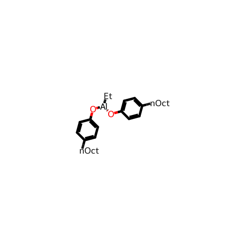 CCCCCCCCc1ccc([O][Al]([CH2]C)[O]c2ccc(CCCCCCCC)cc2)cc1